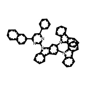 c1ccc(-c2cc(-c3ccc4ccccc4c3)nc(-n3c4ccccc4c4cc(-n5c6ccccc6c6ccccc65)c(-n5c6ccccc6c6ccccc65)cc43)n2)cc1